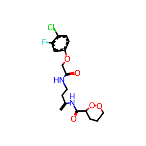 C=C(CCNC(=O)COc1ccc(Cl)c(F)c1)NC(=O)C1CCCOO1